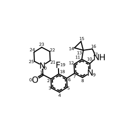 O=C(c1cccc(-c2cnc3c(c2)C2(CC2)CN3)c1F)N1CCCCC1